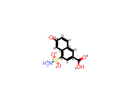 NS(=O)(=O)c1cc(C(=O)O)cc2ccc([O])cc12